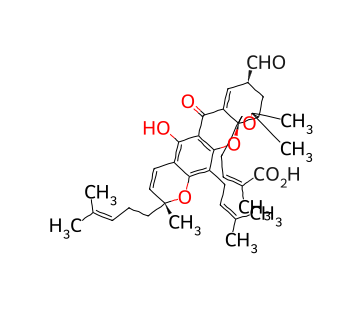 CC(C)=CCC[C@]1(C)C=Cc2c(O)c3c(c(CC=C(C)C)c2O1)O[C@]12C(=C[C@@H](C=O)CC1C(C)(C)OC2C/C=C(/C)C(=O)O)C3=O